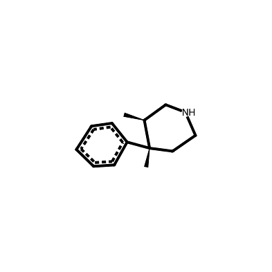 C[C@H]1CNCC[C@]1(C)c1ccccc1